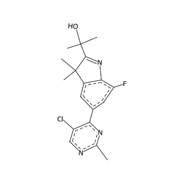 Cc1ncc(Cl)c(-c2cc(F)c3c(c2)C(C)(C)C(C(C)(C)O)=N3)n1